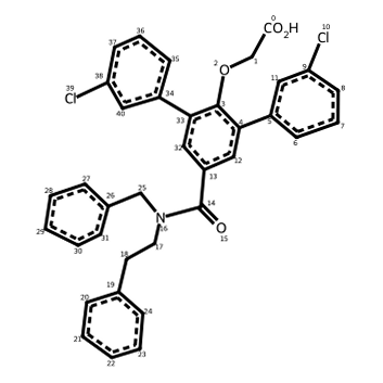 O=C(O)COc1c(-c2cccc(Cl)c2)cc(C(=O)N(CCc2ccccc2)Cc2ccccc2)cc1-c1cccc(Cl)c1